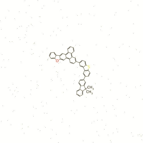 CC1(C)c2ccccc2-c2ccc(-c3ccc4sc5ccc(-c6ccc7c(c6)c6ccccc6c6cc8c(cc76)oc6ccccc68)cc5c4c3)cc21